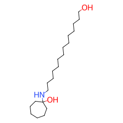 OCCCCCCCCCCCCCCNC1(O)CCCCCC1